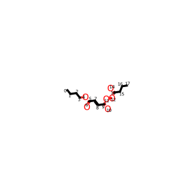 CCCCOC(=O)/C=C/C(=O)OOC(=O)CCC